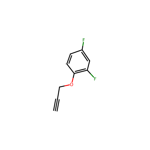 C#CCOc1[c]cc(F)cc1F